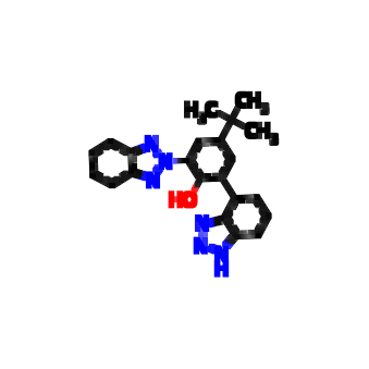 CC(C)(C)c1cc(-c2cccc3[nH]nnc23)c(O)c(-n2nc3ccccc3n2)c1